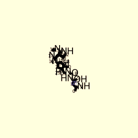 CC(=N)/C=C(\O)NC(=O)N1C[C@H]2C[C@H](N(C)c3ncnc4[nH]ccc34)C[C@H]2C1